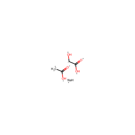 CC(=O)O.O=C(O)CO.[NaH]